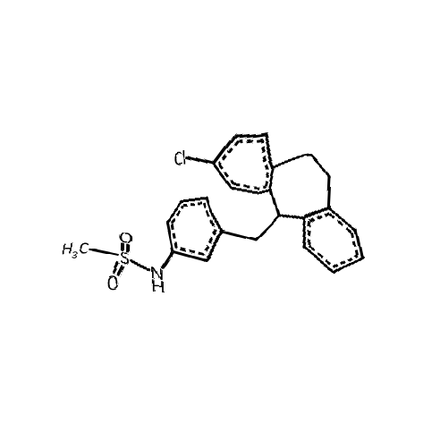 CS(=O)(=O)Nc1cccc(CC2c3ccccc3CCc3ccc(Cl)cc32)c1